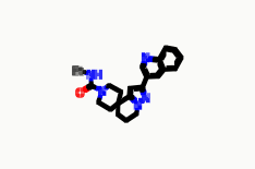 CCNC(=O)N1CCC2(CCCn3nc(-c4cnc5ccccc5c4)cc32)CC1